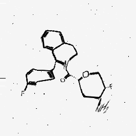 N[C@H]1C[C@H](C(=O)N2CCc3ccccc3[C@@H]2c2ccc(F)cc2)OC[C@@H]1F